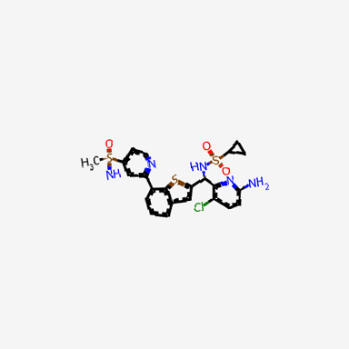 C[S@@](=N)(=O)c1ccnc(-c2cccc3cc([C@@H](NS(=O)(=O)C4CC4)c4nc(N)ccc4Cl)sc23)c1